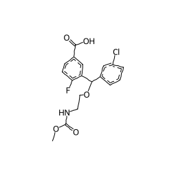 COC(=O)NCCOC(c1cccc(Cl)c1)c1cc(C(=O)O)ccc1F